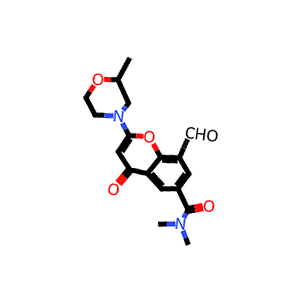 CC1CN(c2cc(=O)c3cc(C(=O)N(C)C)cc(C=O)c3o2)CCO1